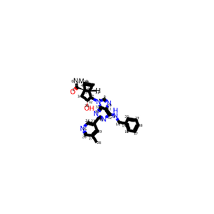 CNC(=O)[C@@]12C=C[C@@H]1C(n1cnc3c(NCc4ccccc4)nc(-c4cncc(C)c4)nc31)[C@H](O)C2